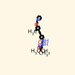 Cc1cc(OCCN2CCCCC2)ccc1C#Cc1ccc(NC(=O)Nc2cc(C(C)(C)C)on2)cc1